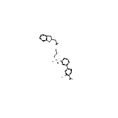 COc1cc(-c2cccc(S(=O)(=O)N(C)C[C@H](O)CNC(C)(C)CC3Cc4ccccc4C3)c2)ccc1C(=O)O